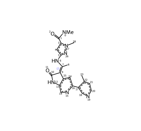 CNC(=O)c1cc(N/C(C)=C2\C(=O)Nc3cnc(-c4cnccc4C)cc32)nn1C